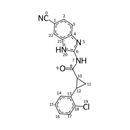 N#Cc1ccc2nc(NC(=O)C3CC3c3ccccc3Cl)[nH]c2c1